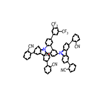 N#Cc1ccccc1-c1ccc2c(c1)c1cc(-c3ccccc3C#N)ccc1n2-c1ccc(C#N)c(-c2cc(-c3cc(C(F)(F)F)cc(C(F)(F)F)c3)ccc2-n2c3ccc(-c4ccccc4C#N)cc3c3cc(-c4ccccc4C#N)ccc32)c1